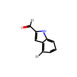 CCC(=O)c1cc2c(CC)cccc2[nH]1